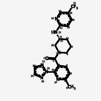 Cc1ccc(C(=O)N2CCC[C@@H](Nc3ccc(C(F)(F)F)cn3)C2)c(-n2nccn2)n1